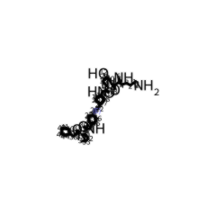 NCCCCC(N)C(=O)N1C[C@H](O)C[C@H]1C(=O)Nc1ccc(/C=C/c2ccc(NC(=O)[C@@H]3CCCN3C(=O)Cc3ccccc3)cc2)cc1